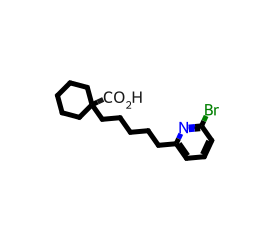 O=C(O)C1(CCCCCc2cccc(Br)n2)CCCCC1